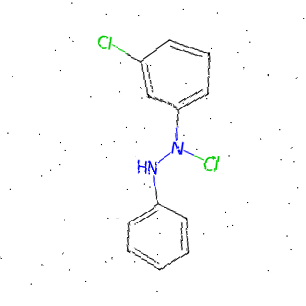 Clc1cccc(N(Cl)Nc2ccccc2)c1